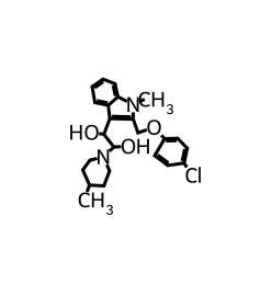 CC1CCN(C(O)C(O)c2c(COc3ccc(Cl)cc3)n(C)c3ccccc23)CC1